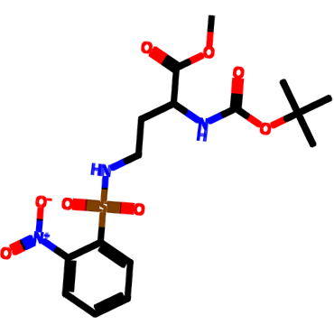 COC(=O)C(CCNS(=O)(=O)c1ccccc1[N+](=O)[O-])NC(=O)OC(C)(C)C